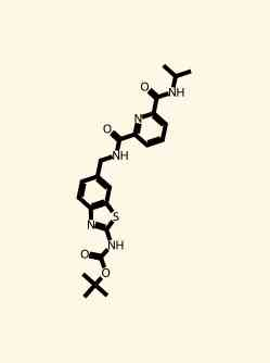 CC(C)NC(=O)c1cccc(C(=O)NCc2ccc3nc(NC(=O)OC(C)(C)C)sc3c2)n1